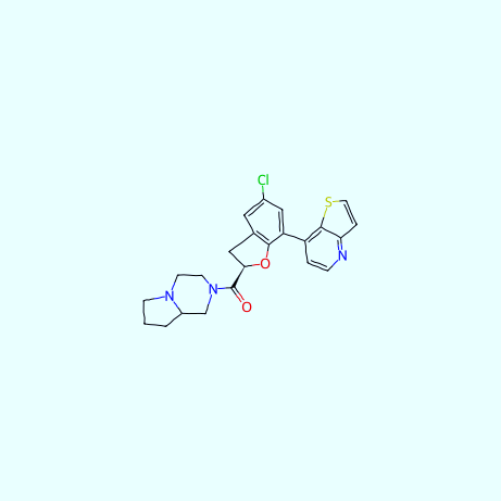 O=C([C@H]1Cc2cc(Cl)cc(-c3ccnc4ccsc34)c2O1)N1CCN2CCCC2C1